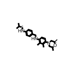 Cc1c(NCc2ccc(NSC(C)C)cc2)ccc(N2CC(C)O[C@H](C)C2)c1C